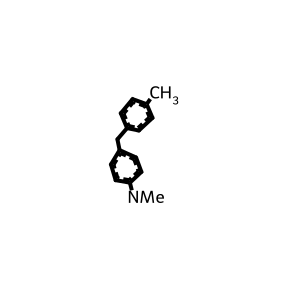 CNc1ccc(Cc2ccc(C)cc2)cc1